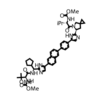 COC(=O)N[C@H](C(=O)N1CC2(CC2)C[C@H]1c1ncc(-c2ccc(-c3ccc4cc(-c5cnc([C@@H](NC(=O)[C@@H](NC(=O)OC)C(C)(C)OC)C6CCCC6)[nH]5)ccc4c3)cc2)[nH]1)C(C)C